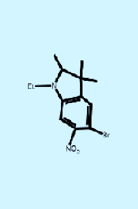 CCN1c2cc([N+](=O)[O-])c(Br)cc2C(C)(C)C1C